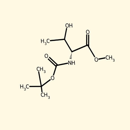 COC(=O)[C@H](NC(=O)OC(C)(C)C)C(C)O